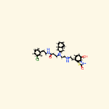 O=C(CCN(CCNCCc1ccc(O)c2[nH]c(=O)sc12)C1Cc2ccccc2C1)NCCc1cccc(Cl)c1